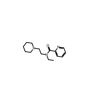 CCN(CCN1CCCCC1)C(=O)c1ccccn1